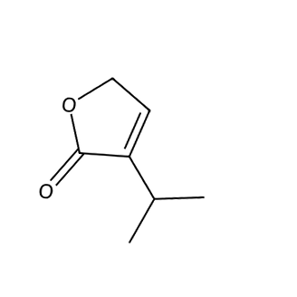 CC(C)C1=CCOC1=O